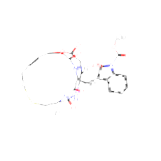 CC(C)[C@H]1NC(=O)[C@H]2CSSCCC=CC(CC(=O)N[C@H](Cc3cn(C(=O)OC(C)(C)C)c4ccccc34)C(=O)N2)OC(=O)C[C@@H]1O